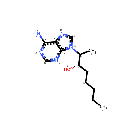 CCCCC[C@H](O)C(C)n1cnc2c(N)ncnc21